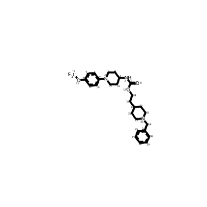 O=C(NC1CCN(c2ccc(OC(F)(F)F)cc2)CC1)OCCC1CCN(Cc2ccccc2)CC1